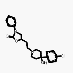 O=C1OC(CCN2CCC(O)(c3ccc(Cl)cc3)CC2)CN1c1ccccc1